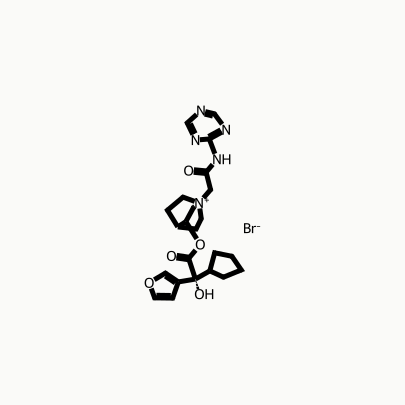 O=C(C[N+]12CCC(CC1)C(OC(=O)[C@](O)(c1ccoc1)C1CCCC1)C2)Nc1ncncn1.[Br-]